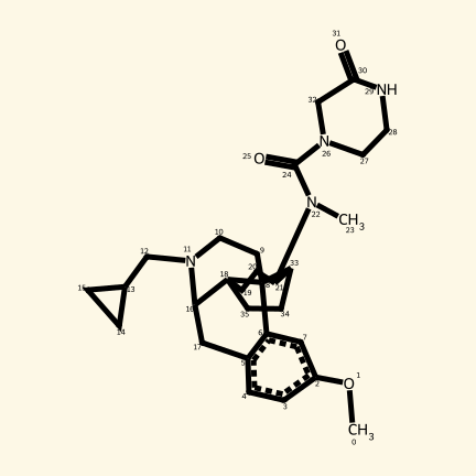 COc1ccc2c(c1)C13CCN(CC4CC4)C(C2)C12CCC(N(C)C(=O)N1CCNC(=O)C1)C3CC2